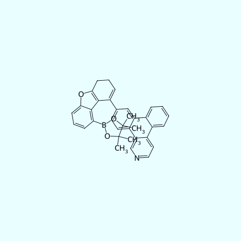 CC1(C)OB(c2cccc3oc4c(c23)C(c2ccc3c5cnccc5c5ccccc5c3c2)=CCC4)OC1(C)C